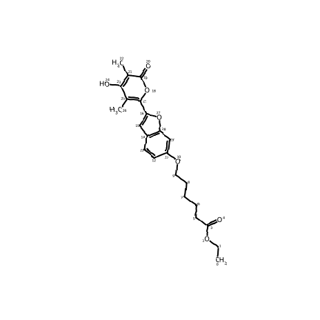 CCOC(=O)CCCCCOc1ccc2cc(-c3oc(=O)c(C)c(O)c3C)oc2c1